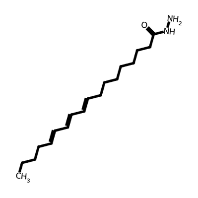 CCCCC=CC=CC=CCCCCCCCC(=O)NN